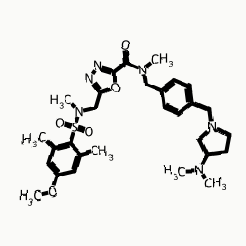 COc1cc(C)c(S(=O)(=O)N(C)Cc2nnc(C(=O)N(C)Cc3ccc(CN4CCC(N(C)C)C4)cc3)o2)c(C)c1